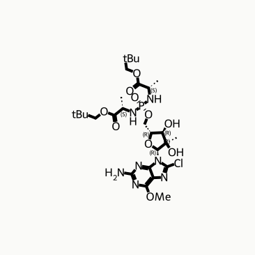 COc1nc(N)nc2c1nc(Cl)n2[C@@H]1O[C@H](COP(=O)(N[C@@H](C)C(=O)OCC(C)(C)C)N[C@@H](C)C(=O)OCC(C)(C)C)[C@@H](O)[C@@]1(C)O